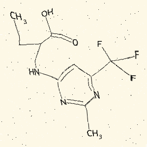 CCC(Nc1cc(C(F)(F)F)nc(C)n1)C(=O)O